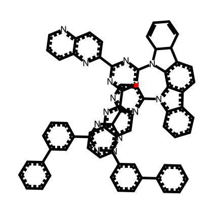 C1=CC2c3ccc4c5ccccc5n(-c5ccnc(-c6nc(-c7cccc(-c8ccccc8)c7)nc(-c7cccc(-c8ccccc8)c7)n6)n5)c4c3N(c3nc(-c4ccc5ncccc5n4)nc(-c4ccc5ncccc5n4)n3)C2C=C1